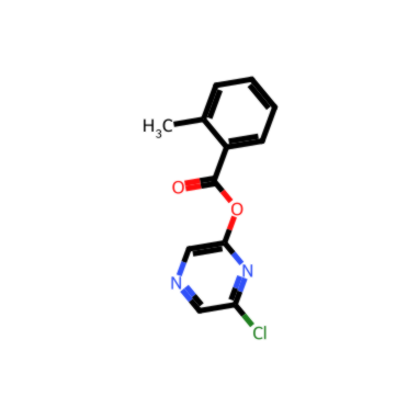 Cc1ccccc1C(=O)Oc1cncc(Cl)n1